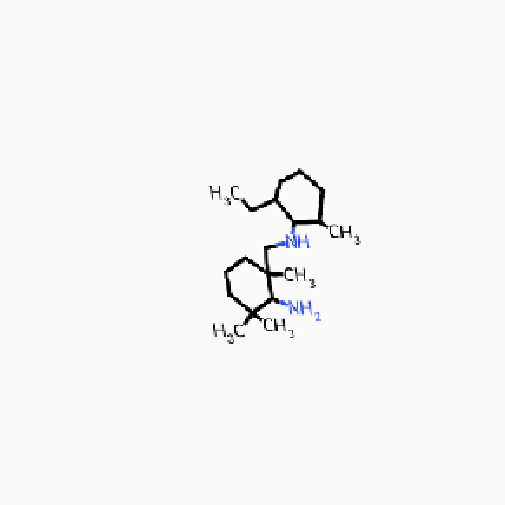 CCC1CCCC(C)C1NCC1(C)CCCC(C)(C)C1N